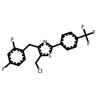 Fc1ccc(Cc2nc(-c3ccc(C(F)(F)F)cc3)sc2CCl)c(F)c1